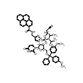 COc1ccc(C(OC[C@H]2O[C@@H](n3ccc(=O)[nH]c3=O)[C@H](n3cc(CNC(=O)c4ccc5ccc6cccc7ccc4c5c67)nn3)[C@@H]2OP(=O)(OCCC#N)N(C(C)C)C(C)C)(c2ccccc2)c2ccc(OC)cc2)cc1